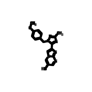 COc1ccc(Cn2nc(C)nc2-c2cn3cc(O)cnc3n2)cc1